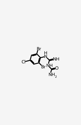 N=C(NC(N)=O)Nc1c(Br)cc(Cl)cc1Br